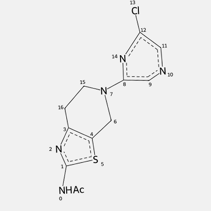 CC(=O)Nc1nc2c(s1)CN(c1cncc(Cl)n1)CC2